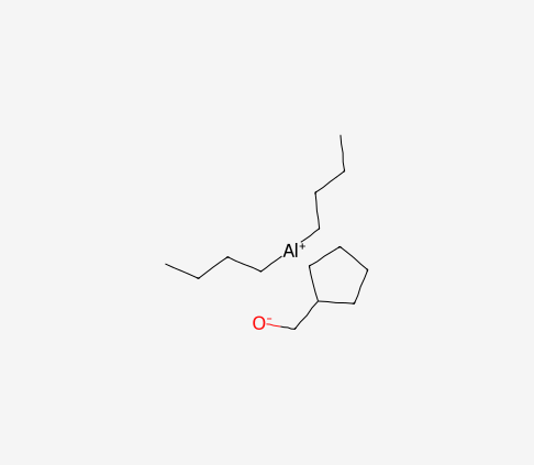 CCC[CH2][Al+][CH2]CCC.[O-]CC1CCCC1